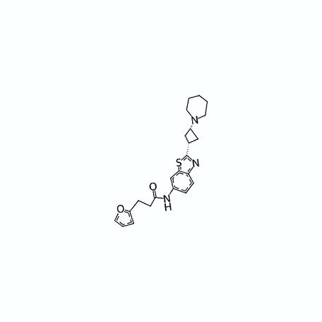 O=C(CCc1ccco1)Nc1ccc2nc([C@H]3C[C@@H](N4CCCCC4)C3)sc2c1